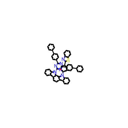 c1ccc(-c2ccc(-c3nc(-c4ccc(-c5ccccc5)cc4)nc(-n4c5ccccc5c5ccc6c7ccccc7n(-c7ccc(-c8nc9ccccc9s8)cc7)c6c54)n3)cc2)cc1